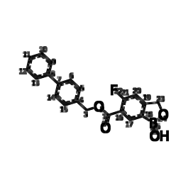 O=C(OCc1ccc(-c2ccccc2)cc1)c1cc2c(cc1F)COB2O